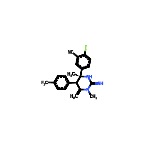 C=C1[C@@H](c2ccc(C(F)(F)F)cc2)[C@@](C)(c2ccc(F)c(C#N)c2)NC(=N)N1C